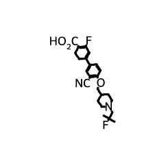 CC(C)(F)CN1CCC(COc2ccc(C3=CC(F)=C(C(=O)O)CC3)cc2C#N)CC1